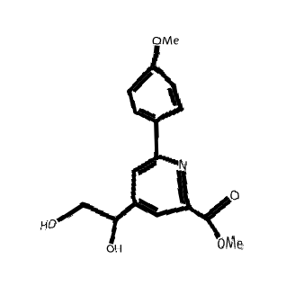 COC(=O)c1cc(C(O)CO)cc(-c2ccc(OC)cc2)n1